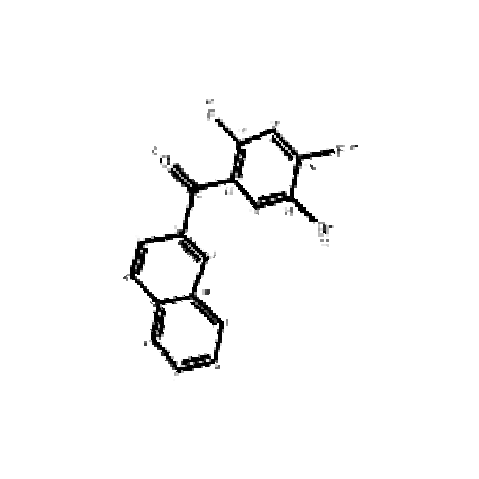 O=C(c1ccc2ccccc2c1)c1cc(Br)c(F)cc1F